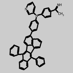 CC(=N)c1ccc(N(c2ccc(-c3ccc4c5c(cccc35)-c3c-4c(-c4ccccc4)c4ccccc4c3-c3ccccc3)cc2)c2cccnc2)cc1